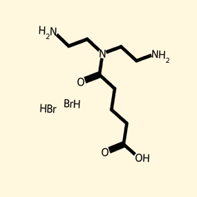 Br.Br.NCCN(CCN)C(=O)CCCC(=O)O